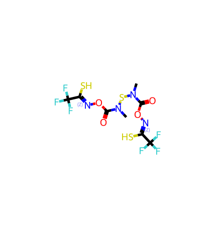 CN(SN(C)C(=O)O/N=C(\S)C(F)(F)F)C(=O)O/N=C(\S)C(F)(F)F